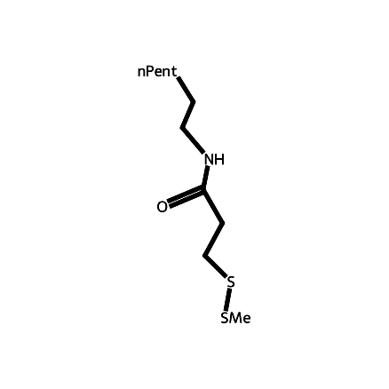 CCCCCCCNC(=O)CCSSC